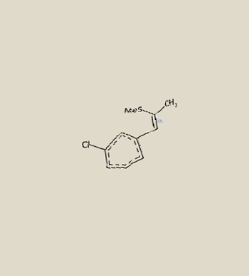 CS/C(C)=C\c1cccc(Cl)c1